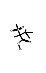 CC(C)(C)C(C)(C(=O)OBr)S(C)(=O)=O